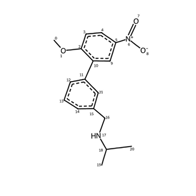 COc1ccc([N+](=O)[O-])cc1-c1cccc(CNC(C)C)c1